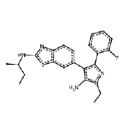 CC[C@@H](C)Nc1nc2ccc(-c3c(-c4ccccc4F)nn(CC)c3N)cc2s1